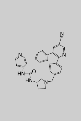 N#Cc1cnc(-c2ccc(CN3CCC(NC(=O)Nc4ccncc4)C3)cc2)c(-c2ccccc2)c1